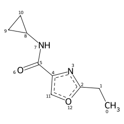 CCc1nc(C(=O)NC2CC2)co1